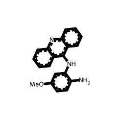 COc1ccc(N)c(Nc2c3ccccc3nc3ccccc23)c1